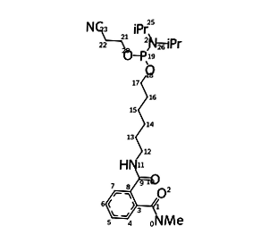 CNC(=O)c1ccccc1C(=O)NCCCCCCOP(OCCC#N)N(C(C)C)C(C)C